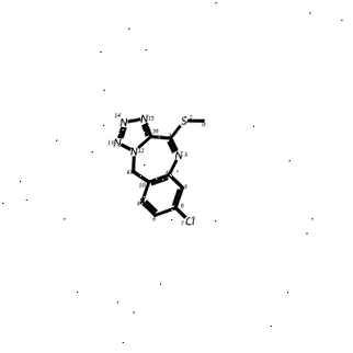 CSC1=Nc2cc(Cl)ccc2Cn2nnnc21